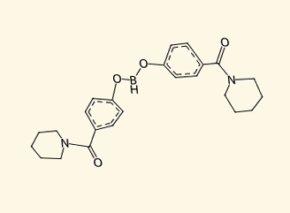 O=C(c1ccc(OBOc2ccc(C(=O)N3CCCCC3)cc2)cc1)N1CCCCC1